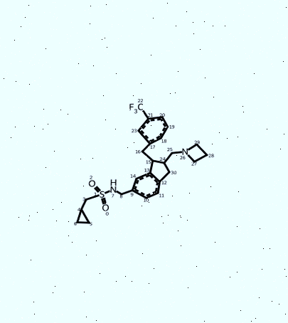 O=S(=O)(CC1CC1)NCc1ccc2c(c1)C(Cc1cccc(C(F)(F)F)c1)C(CN1CCC1)C2